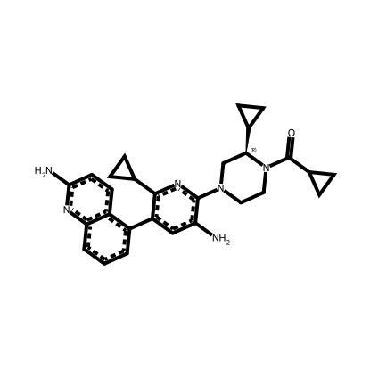 Nc1ccc2c(-c3cc(N)c(N4CCN(C(=O)C5CC5)[C@H](C5CC5)C4)nc3C3CC3)cccc2n1